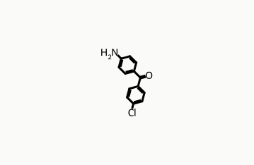 Nc1ccc(C(=O)c2ccc(Cl)cc2)cc1